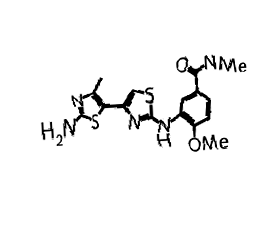 CNC(=O)c1ccc(OC)c(Nc2nc(-c3sc(N)nc3C)cs2)c1